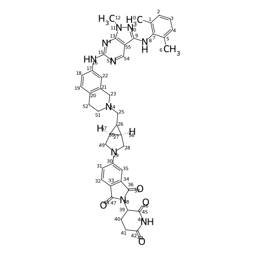 Cc1cccc(C)c1Nc1nn(C)c2nc(Nc3ccc4c(c3)CN(CC3[C@H]5CN(c6ccc7c(c6)C(=O)N(C6CCC(=O)NC6=O)C7=O)C[C@@H]35)CC4)ncc12